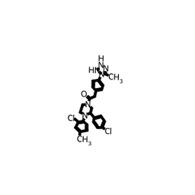 CC1=NNNN1c1ccc(CC(=O)N2CCN(c3ccc(C)cc3Cl)C(c3ccc(Cl)cc3)C2)cc1